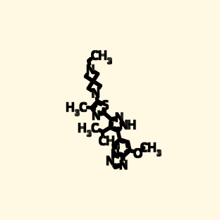 CCN1CC2(C1)CN(c1sc(-c3n[nH]c(-c4cc(OC)c5ncnn5c4)c3C(C)C)nc1C)C2